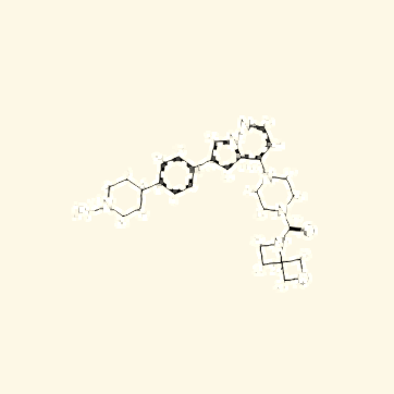 CC(C)N1CCC(c2ccc(-c3cc4c(N5CCN(C(=O)N6CCC67COC7)CC5)ccnn4c3)cc2)CC1